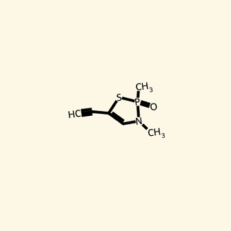 C#CC1=CN(C)P(C)(=O)S1